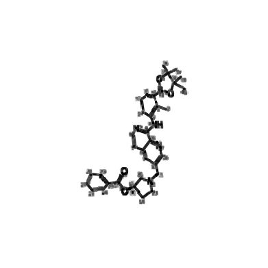 Cc1c(Nc2nccc3cc(CN4CC[C@@H](OC(=O)c5ccccc5)C4)cnc23)cccc1B1OC(C)(C)C(C)(C)O1